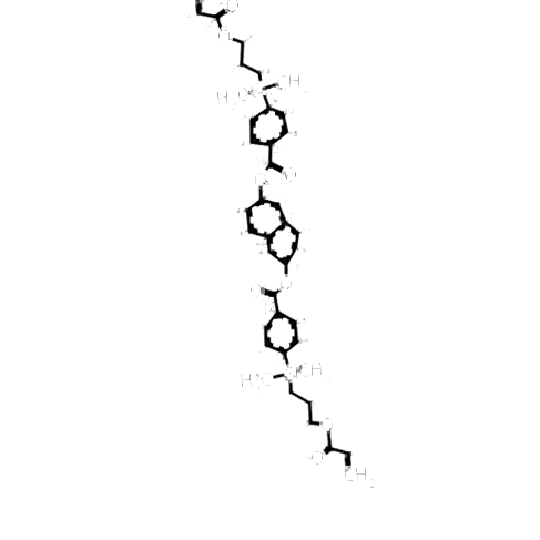 C=CC(=O)OCCC[Si](C)(C)c1ccc(C(=O)Oc2ccc3cc(OC(=O)c4ccc([Si](C)(C)CCCOC(=O)C=C)cc4)ccc3c2)cc1